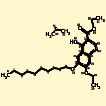 CCCCCCCCCCOc1cc2c(O)c(C(=O)OCC)cnc2cc1OCC.CSC